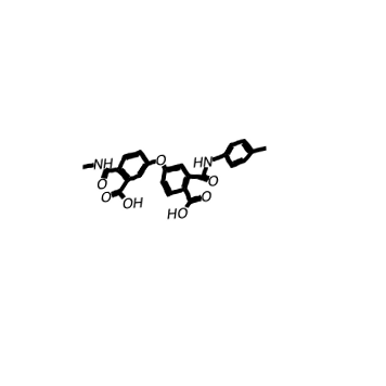 CNC(=O)c1ccc(Oc2ccc(C(=O)O)c(C(=O)Nc3ccc(C)cc3)c2)cc1C(=O)O